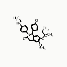 CCNc1ccc(N2C(=O)Cc3cc(OC)c(O[C@H](C)CC)cc3C2c2ccc(Cl)cc2)cc1